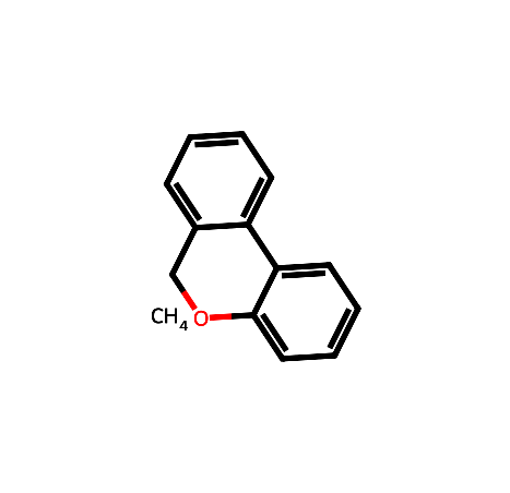 C.c1ccc2c(c1)COc1ccccc1-2